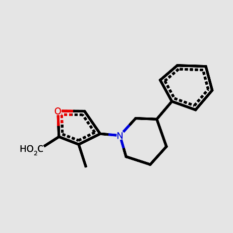 Cc1c(N2CCCC(c3ccccc3)C2)coc1C(=O)O